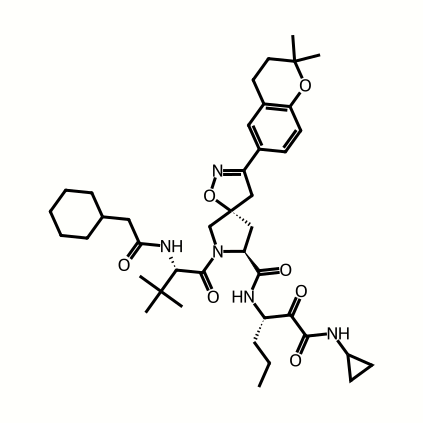 CCC[C@H](NC(=O)[C@@H]1C[C@]2(CC(c3ccc4c(c3)CCC(C)(C)O4)=NO2)CN1C(=O)[C@@H](NC(=O)CC1CCCCC1)C(C)(C)C)C(=O)C(=O)NC1CC1